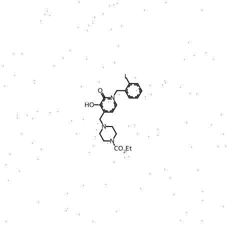 CCOC(=O)N1CCN(Cc2ccn(Cc3ccccc3I)c(=O)c2O)CC1